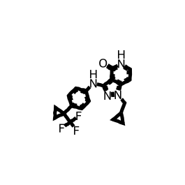 O=c1[nH]ccc2c1c(Nc1ccc(C3(C(F)(F)F)CC3)cc1)nn2CC1CC1